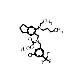 CCCCN(CC)c1cc2c(cc1CN(Cc1cc(Cl)cc(C(F)(F)F)c1)C(=O)OC)CCC2